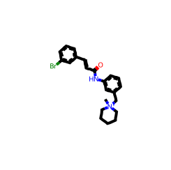 C[N+]1(Cc2cccc(NC(=O)/C=C/c3cccc(Br)c3)c2)CCCCC1